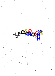 Bc1ccc2sc(C(=O)Nc3ccc(S(=O)(=O)Nc4nccs4)cc3)cc2c1